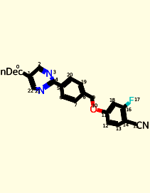 CCCCCCCCCCc1cnc(-c2ccc(COc3ccc(C#N)c(F)c3)cc2)nc1